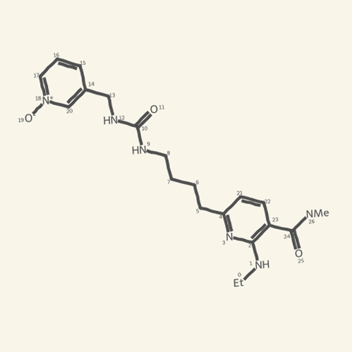 CCNc1nc(CCCCNC(=O)NCc2ccc[n+]([O-])c2)ccc1C(=O)NC